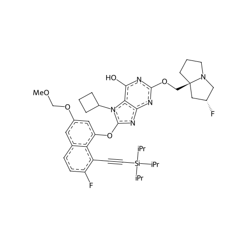 COCOc1cc(Oc2nc3nc(OC[C@@]45CCCN4C[C@H](F)C5)nc(O)c3n2C2CCC2)c2c(C#C[Si](C(C)C)(C(C)C)C(C)C)c(F)ccc2c1